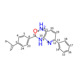 CC(C)c1ccc(C(=O)Nc2nc(-c3ccccc3)ccc2N)cc1